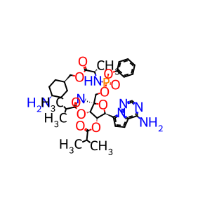 CC(C)C(=O)O[C@H]1[C@H](c2ccc3c(N)ncnn23)O[C@](C#N)(COP(=O)(N[C@@H](C)C(=O)OC[C@H]2CC[C@H](N)CC2)Oc2ccccc2)[C@H]1OC(=O)C(C)C